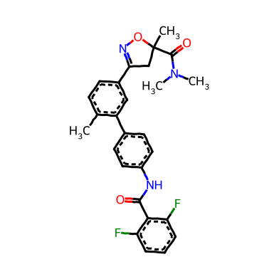 Cc1ccc(C2=NOC(C)(C(=O)N(C)C)C2)cc1-c1ccc(NC(=O)c2c(F)cccc2F)cc1